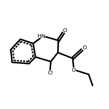 CCOC(=O)C1C(=O)Nc2ccccc2C1Cl